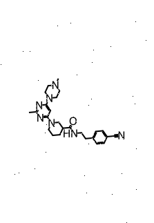 Cc1nc(N2CCN(C)CC2)cc(N2CCCC(C(=O)NCCc3ccc(C#N)cc3)C2)n1